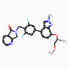 COC[C@H](C)Oc1ccc(-c2cc(F)c(CN3Cc4ncccc4C3=O)c(F)c2)c2cn(C)nc12